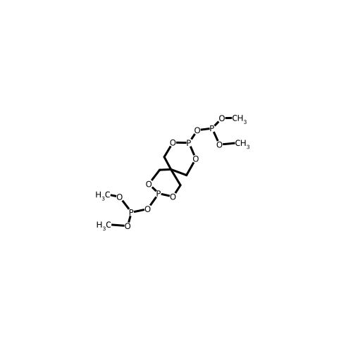 COP(OC)OP1OCC2(CO1)COP(OP(OC)OC)OC2